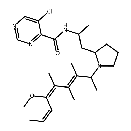 C\C=C/C(OC)=C(C)\C(C)=C(/C)C(C)N1CCCC1CC(C)NC(=O)c1ncncc1Cl